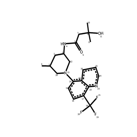 CC1CC(NC(=O)CC(C)(C)O)CN(c2ccc(C(F)(F)F)c3ncccc23)C1